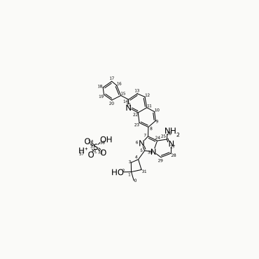 CC1(O)CC(c2nc(-c3ccc4ccc(-c5ccccc5)nc4c3)c3c(N)nccn23)C1.O=S(=O)([O-])O.[H+]